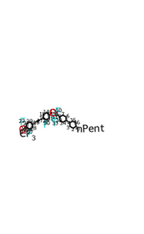 CCCCCc1ccc(-c2ccc(C(F)(F)Oc3ccc(C#Cc4cc(F)c(OC(F)(F)F)c(F)c4)c(F)c3)c(F)c2)cc1